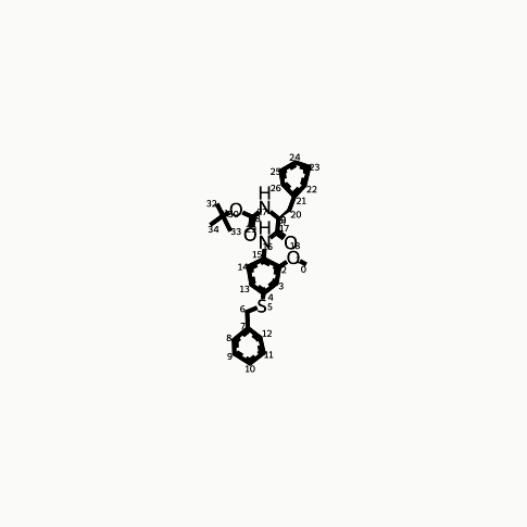 COc1cc(SCc2ccccc2)ccc1NC(=O)[C@H](Cc1ccccc1)NC(=O)OC(C)(C)C